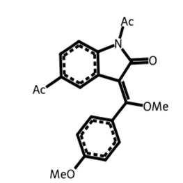 COC(=C1C(=O)N(C(C)=O)c2ccc(C(C)=O)cc21)c1ccc(OC)cc1